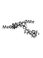 COc1cc(OCc2cccc(OCc3cccnc3C)c2)c2cc(-c3cn4nc(OC)sc4n3)oc2c1